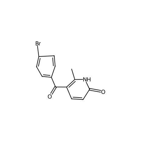 Cc1[nH]c(=O)ccc1C(=O)c1ccc(Br)cc1